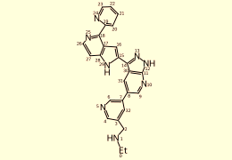 CCNCc1cncc(-c2cnc3[nH]nc(-c4cc5c(-c6ccccn6)nccc5[nH]4)c3c2)c1